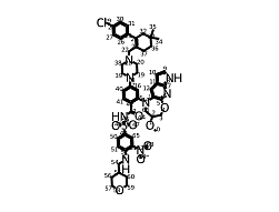 COC1COc2nc3[nH]ccc3cc2N(c2cc(N3CCN(CC4=C(c5ccc(Cl)cc5)CC(C)(C)CC4)CC3)ccc2C(=O)NS(=O)(=O)c2ccc(NCC3CCOCC3)c([N+](=O)[O-])c2)C1